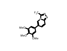 COc1cc(-c2ccc3nnc(C(F)(F)F)n3c2)cc(OC)c1OC